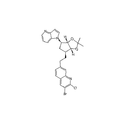 CC1(C)O[C@@H]2[C@@H](CCc3ccc4cc(Br)c(Cl)nc4c3)C[C@@H](n3ccc4ncccc43)[C@@H]2O1